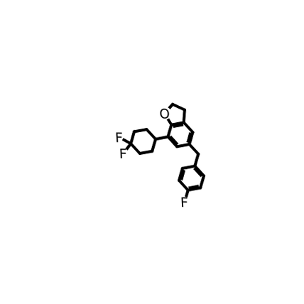 Fc1ccc(Cc2cc3c(c(C4CCC(F)(F)CC4)c2)OCC3)cc1